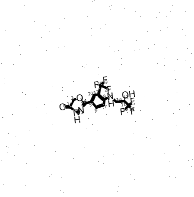 O=C1COC(c2ccc(NC[C@H](O)C(F)(F)F)c(C(F)(F)F)c2)=NN1